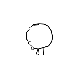 CC1CCCCCCC=CCCCCOC1=O